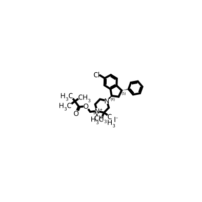 CC(C)(C)C(=O)OC[N@+]1(C)CCN([C@@H]2C[C@@H](c3ccccc3)c3ccc(Cl)cc32)CC1(C)C.[I-]